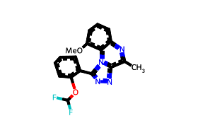 COc1cccc2nc(C)c3nnc(-c4ccccc4OC(F)F)n3c12